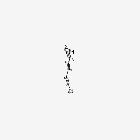 C#CC#CC#CCC